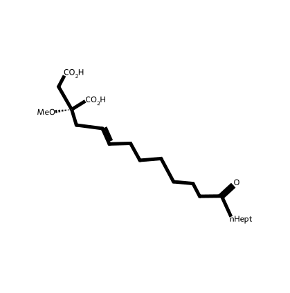 CCCCCCCC(=O)CCCCCC/C=C/C[C@](CC(=O)O)(OC)C(=O)O